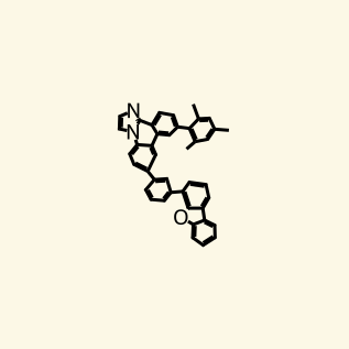 Cc1cc(C)c(-c2ccc3c(c2)c2cc(-c4cccc(-c5cccc6c5oc5ccccc56)c4)ccc2n2ccnc32)c(C)c1